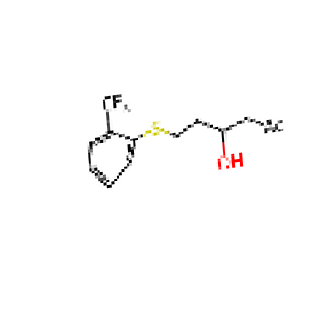 CC(=O)CC(O)CCSc1ccccc1C(F)(F)F